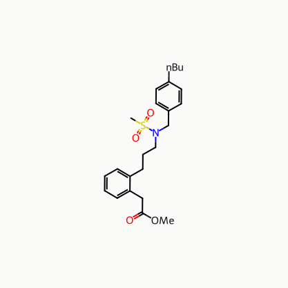 CCCCc1ccc(CN(CCCc2ccccc2CC(=O)OC)S(C)(=O)=O)cc1